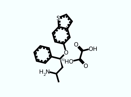 CC(N)C[C@H](Oc1ccc2sccc2c1)c1ccccc1.O=C(O)C(=O)O